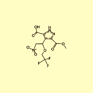 COC(=O)c1n[nH]c(C(=O)O)c1C(C[N+](=O)[O-])OCC(F)(F)F